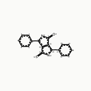 O=c1nc(-c2ccccc2)c2c(=S)nc(-c3ccccc3)c1=2